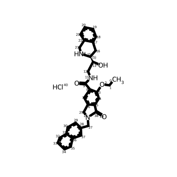 CCOc1cc2c(cc1C(=O)NCC(O)[C@@H]1Cc3ccccc3CN1)CN(Cc1ccc3ccccc3c1)C2=O.Cl